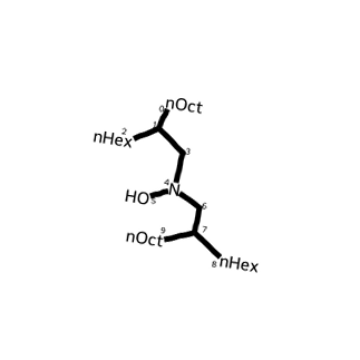 CCCCCCCCC(CCCCCC)CN(O)CC(CCCCCC)CCCCCCCC